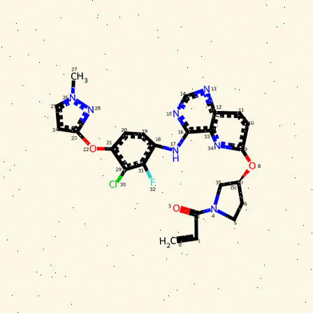 C=CC(=O)N1CC[C@H](Oc2ccc3ncnc(Nc4ccc(Oc5ccn(C)n5)c(Cl)c4F)c3n2)C1